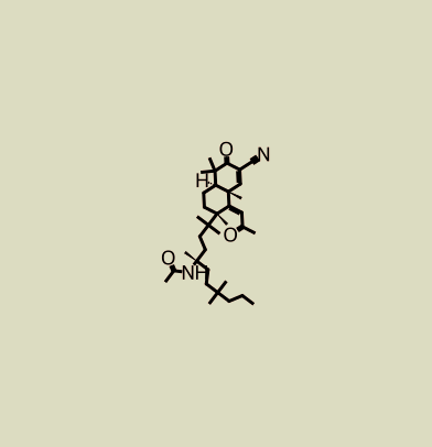 CCCC(C)(C)CC[C@@](C)(CCC(C)(C)[C@]1(C)CC[C@H]2C(C)(C)C(=O)C(C#N)=C[C@]2(C)/C1=C/C(C)=O)NC(C)=O